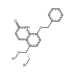 CC(C)O[C@@H](CBr)c1ccc(OCc2ccccc2)c2[nH]c(=O)ccc12